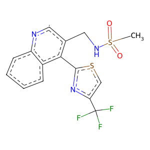 CS(=O)(=O)NCc1[c]nc2ccccc2c1-c1nc(C(F)(F)F)cs1